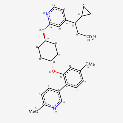 COc1ccc(-c2ccc(OC)nc2)c(O[C@H]2CC[C@H](Oc3cc(C(CC(=O)O)C4CC4)ccn3)CC2)c1